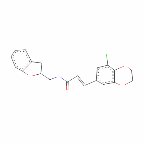 O=C(C=Cc1cc(Cl)c2c(c1)OCCO2)NCC1Cc2ccccc2O1